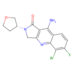 Nc1c2c(nc3c(Br)c(F)ccc13)CN([C@@H]1CCOC1)C2=O